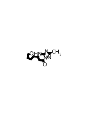 Cc1nc2[nH]c(-c3ccco3)cc(=O)n2n1